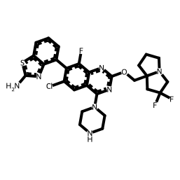 Nc1nc2c(-c3c(Cl)cc4c(N5CCNCC5)nc(OCC56CCCN5CC(F)(F)C6)nc4c3F)cccc2s1